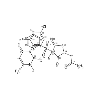 Cn1c(C(F)(F)F)cc(=O)n(-c2cc(N=C3SC(CC(N)=O)C(=O)[N+]3(C)S(=O)(=O)c3ccccc3)c(Cl)cc2F)c1=O